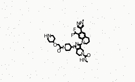 CNC(=O)N1CCc2c(c(N3CCCc4cc(-c5cnn(C)c5)c(C(F)F)cc43)nn2C2CCN(C(=O)COC3CCNCC3)CC2)C1